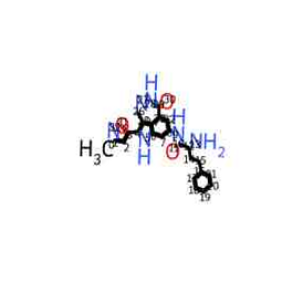 Cc1cc(-c2[nH]c3cc(NC(=O)C(N)CCc4ccccc4)cc4c3c2C=NNC4=O)on1